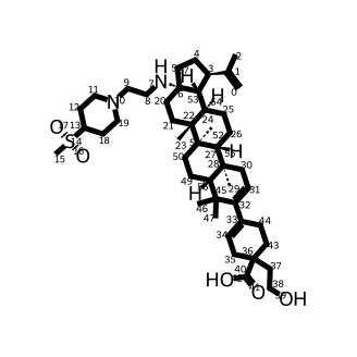 C=C(C)[C@@H]1CC[C@]2(NCCN3CCC(S(C)(=O)=O)CC3)CC[C@]3(C)[C@H](CC[C@@H]4[C@@]5(C)CC=C(C6=CCC(CCO)(C(=O)O)CC6)C(C)(C)[C@@H]5CC[C@]43C)[C@@H]12